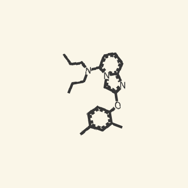 CCCN(CCC)c1cccc2nc(Oc3ccc(C)cc3C)cn12